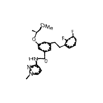 COC[C@H](C)Oc1cc(CCc2cccc(F)c2F)cc(C(=O)Nc2ccn(C)n2)c1